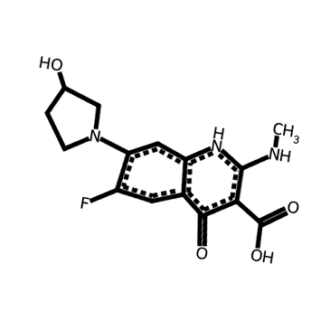 CNc1[nH]c2cc(N3CCC(O)C3)c(F)cc2c(=O)c1C(=O)O